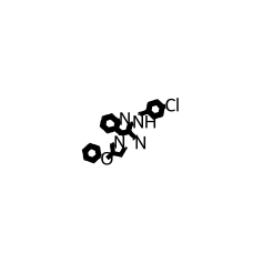 N#Cc1c(NCc2ccc(Cl)cc2)nc2ccccc2c1N1CCC(Oc2ccccc2)C1